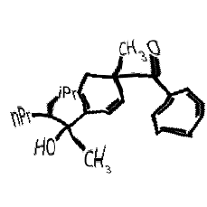 CCCC(C(C)C)C(C)(O)C1=CCC(C)(C(=O)c2ccccc2)C=C1